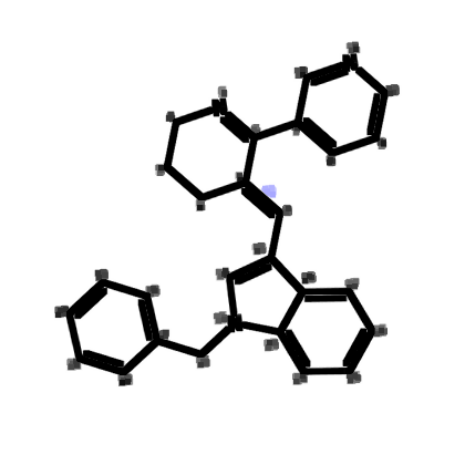 C(=C1/CCCN=C1c1cccnc1)/c1cn(Cc2ccccc2)c2ccccc12